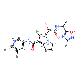 Cc1noc(C(C)NC(=O)C(=O)c2c(Cl)c(C(=O)Nc3cnc(F)c(C)c3)c3n2CCC3)n1